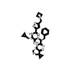 CC(C)C[C@H](NC(=O)[C@H](Cc1ccccc1)NC(=O)[C@H](CC1CC1)NC(=O)c1cc(CN2CCC2)on1)C(=O)C1(C)CC1